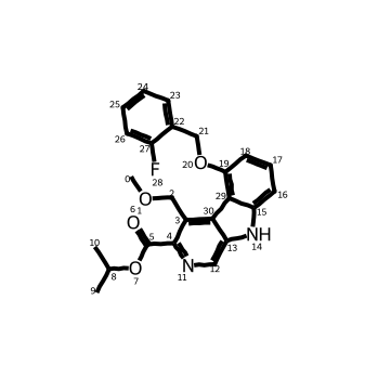 COCc1c(C(=O)OC(C)C)ncc2[nH]c3cccc(OCc4ccccc4F)c3c12